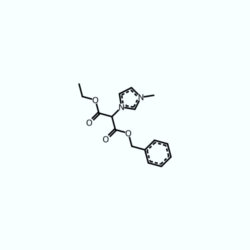 CCOC(=O)C(C(=O)OCc1ccccc1)[n+]1ccn(C)c1